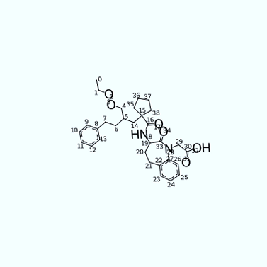 CCOOCC(CCc1ccccc1)CC1(C(=O)NC2CCc3ccccc3N(CC(=O)O)C2=O)CCCC1